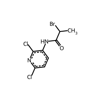 CC(Br)C(=O)Nc1ccc(Cl)nc1Cl